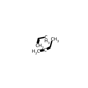 C=C=CC.C=CC